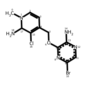 CN1C=CC(COc2nc(Br)cnc2N)=C(Cl)C1N